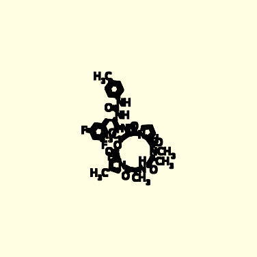 Cc1ccc(NC(=O)N[C@@H](Cc2cc(F)cc(F)c2)C(=O)N[C@@H]2C(=O)N3CCC[C@H]3C(=O)N(C)[C@@H](C)C(=O)N[C@@H](C)C(=O)N3C[C@H](C)C[C@H]3C(=O)O[C@H]2C)cc1